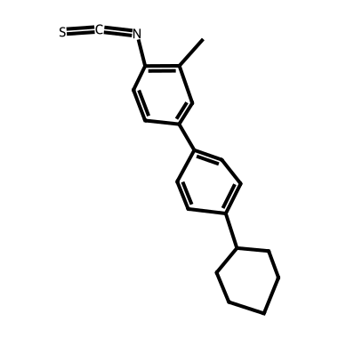 Cc1cc(-c2ccc(C3CCCCC3)cc2)ccc1N=C=S